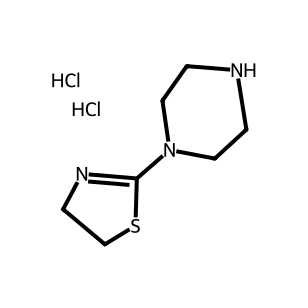 C1CSC(N2CCNCC2)=N1.Cl.Cl